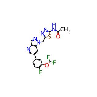 CC(=O)Nc1nnc(Cn2ncc3ncc(-c4ccc(F)c(OC(F)F)c4)cc32)s1